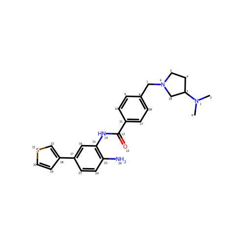 CN(C)C1CCN(Cc2ccc(C(=O)Nc3cc(-c4ccsc4)ccc3N)cc2)C1